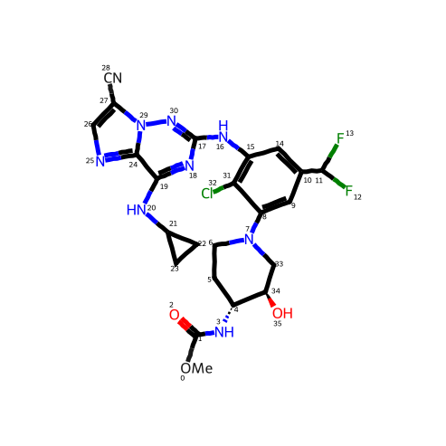 COC(=O)N[C@@H]1CCN(c2cc(C(F)F)cc(Nc3nc(NC4CC4)c4ncc(C#N)n4n3)c2Cl)C[C@H]1O